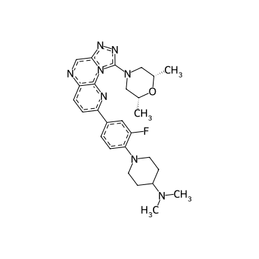 C[C@@H]1CN(c2nnc3cnc4ccc(-c5ccc(N6CCC(N(C)C)CC6)c(F)c5)nc4n23)C[C@H](C)O1